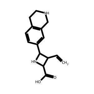 C=CC1C(C(=O)O)NC1c1ccc2c(c1)CNCC2